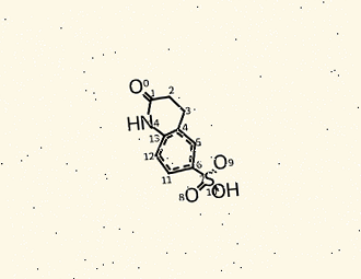 O=C1CCc2cc(S(=O)(=O)O)ccc2N1